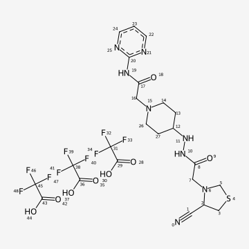 N#CC1CSCN1CC(=O)NNC1CCN(CC(=O)Nc2ncccn2)CC1.O=C(O)C(F)(F)F.O=C(O)C(F)(F)F.O=C(O)C(F)(F)F